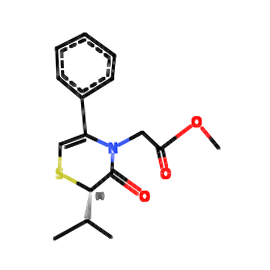 COC(=O)CN1C(=O)[C@H](C(C)C)SC=C1c1ccccc1